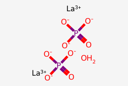 O.O=P([O-])([O-])[O-].O=P([O-])([O-])[O-].[La+3].[La+3]